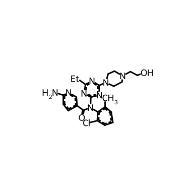 CCc1nc(N2CCN(CCO)CC2)nc(N(C(=O)c2ccc(N)nc2)c2c(C)cccc2Cl)n1